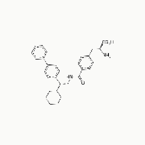 N[C@@H](Cc1ccc(C(=O)NC[C@@H](c2ccc(-c3ccccc3)cc2)C2CCCCC2)cc1)C(=O)O